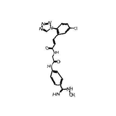 N=C(NO)c1ccc(NC(=O)CNC(=O)/C=C/c2cc(Cl)ccc2-n2cnnn2)cc1